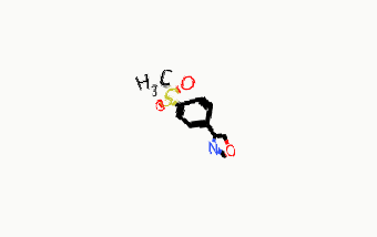 CS(=O)(=O)c1ccc(C2COC=N2)cc1